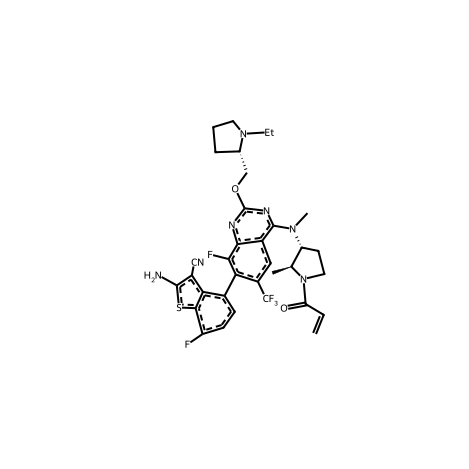 C=CC(=O)N1CC[C@@H](N(C)c2nc(OC[C@@H]3CCCN3CC)nc3c(F)c(-c4ccc(F)c5sc(N)c(C#N)c45)c(C(F)(F)F)cc23)[C@@H]1C